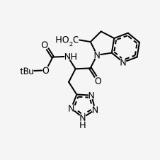 CC(C)(C)OC(=O)NC(Cc1nn[nH]n1)C(=O)N1c2ncccc2CC1C(=O)O